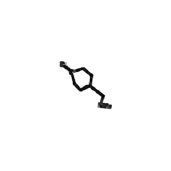 [CH2-][C+]1CCC(CNC)CC1